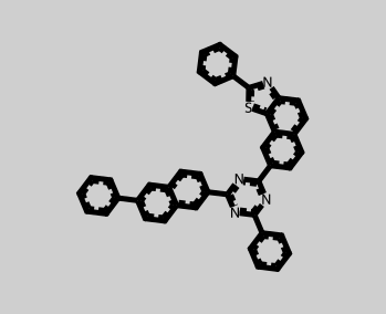 c1ccc(-c2ccc3cc(-c4nc(-c5ccccc5)nc(-c5ccc6ccc7nc(-c8ccccc8)sc7c6c5)n4)ccc3c2)cc1